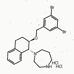 Brc1cc(Br)cc(CO[C@@H]2CCc3ccccc3[C@H]2N2CCCNCC2)c1.Cl.Cl